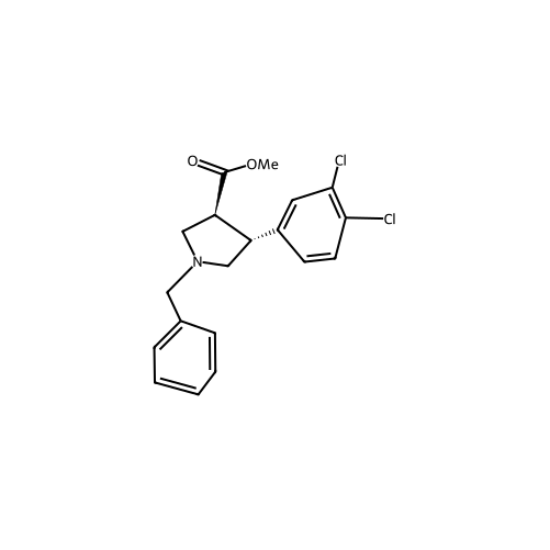 COC(=O)[C@@H]1CN(Cc2ccccc2)C[C@H]1c1ccc(Cl)c(Cl)c1